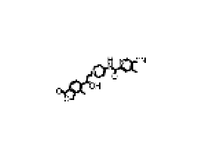 Cc1cc(C(=O)NC2CCN(C[C@H](O)c3ccc4c(c3C)COC4=O)CC2)ncc1C#N